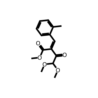 COC(=O)/C(=C\c1ccccc1C)C(=O)C(OC)OC